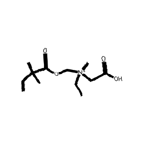 CCC(C)(C)C(=O)OC[N+](C)(CC)CC(=O)O